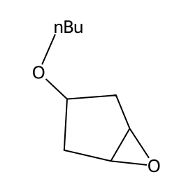 CCCCOC1CC2OC2C1